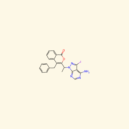 CC(c1oc(=O)c2ccccc2c1Cc1ccccc1)n1nc(I)c2c(N)ncnc21